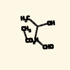 CC(=O)O.CC(O)CC=O